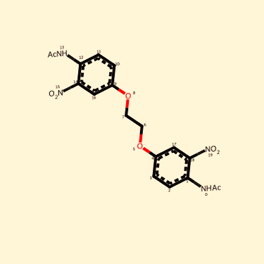 CC(=O)Nc1ccc(OCCOc2ccc(NC(C)=O)c([N+](=O)[O-])c2)cc1[N+](=O)[O-]